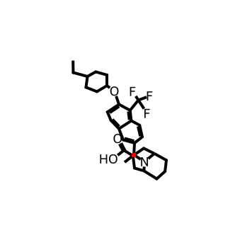 CCC1CCC(Oc2ccc3cc(C(C)N4C5CCCC4CC(C(=O)O)C5)ccc3c2C(F)(F)F)CC1